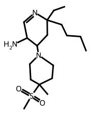 CCCCC1(CC)CC(N2CCC(C)(S(C)(=O)=O)CC2)C(N)C=N1